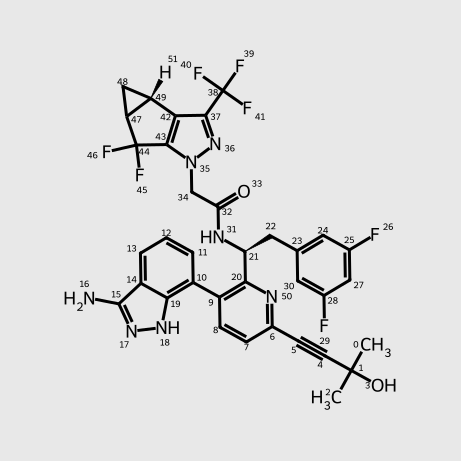 CC(C)(O)C#Cc1ccc(-c2cccc3c(N)n[nH]c23)c([C@H](Cc2cc(F)cc(F)c2)NC(=O)Cn2nc(C(F)(F)F)c3c2C(F)(F)C2C[C@H]32)n1